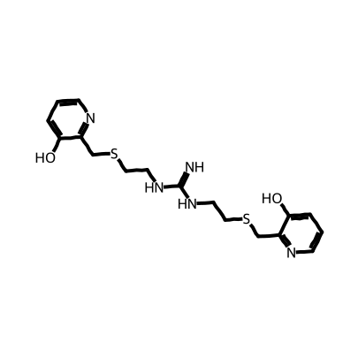 N=C(NCCSCc1ncccc1O)NCCSCc1ncccc1O